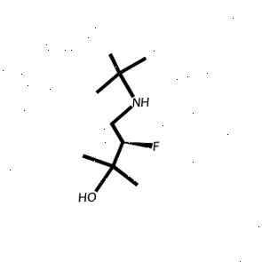 CC(C)(C)NC[C@@H](F)C(C)(C)O